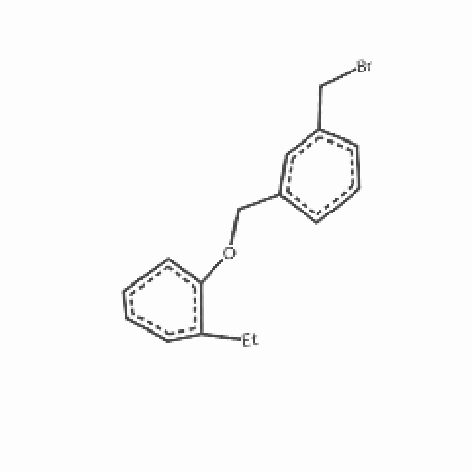 CCc1ccccc1OCc1cccc(CBr)c1